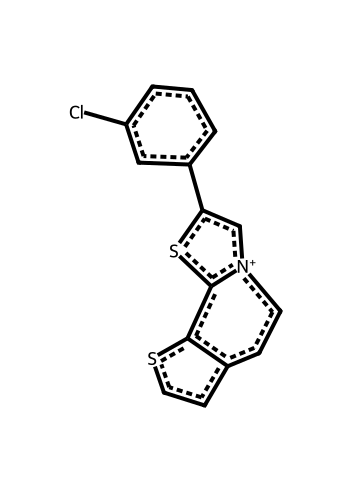 Clc1cccc(-c2c[n+]3ccc4ccsc4c3s2)c1